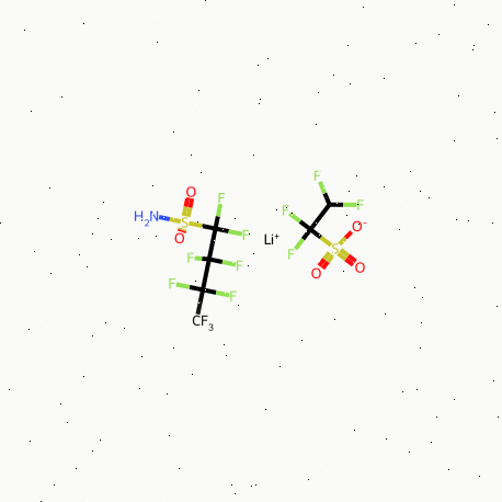 NS(=O)(=O)C(F)(F)C(F)(F)C(F)(F)C(F)(F)F.O=S(=O)([O-])C(F)(F)C(F)F.[Li+]